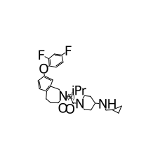 CC(C)[C@H](C(=O)N1CCC(NCC2CC2)CC1)N1Cc2cc(Oc3ccc(F)cc3F)ccc2CCC1=O